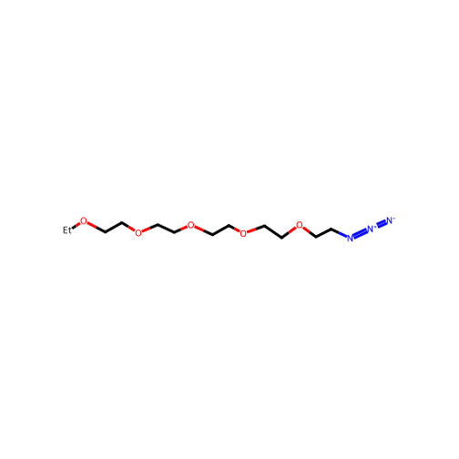 CCOCCOCCOCCOCCOCCN=[N+]=[N-]